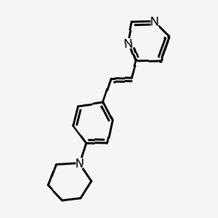 C(=Cc1ccncn1)c1ccc(N2CCCCC2)cc1